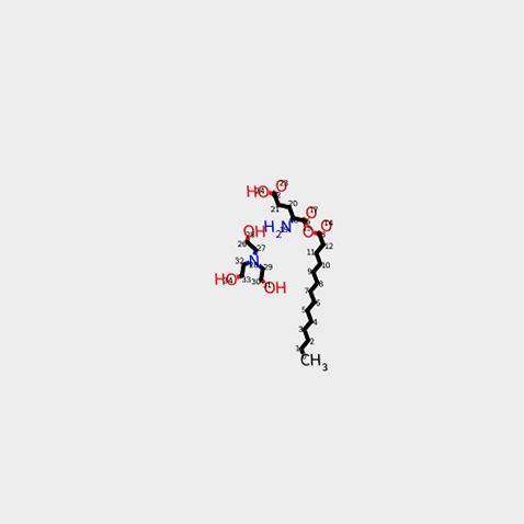 CCCCCCCCCCCCCC(=O)OC(=O)C(N)CCC(=O)O.OCCN(CCO)CCO